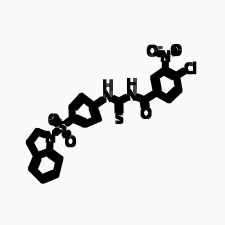 O=C(NC(=S)Nc1ccc(S(=O)(=O)N2CCc3ccccc32)cc1)c1ccc(Cl)c([N+](=O)[O-])c1